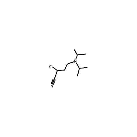 CC(C)N(CCC(Cl)C#N)C(C)C